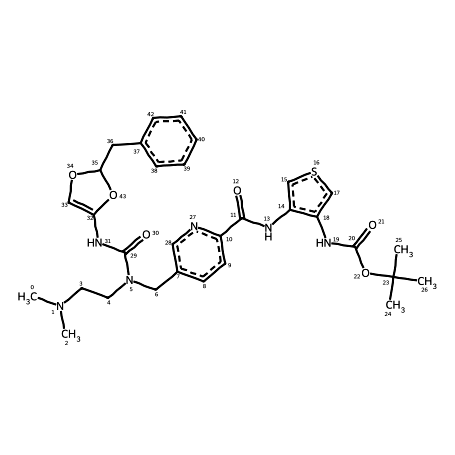 CN(C)CCN(Cc1ccc(C(=O)Nc2cscc2NC(=O)OC(C)(C)C)nc1)C(=O)NC1=COC(Cc2ccccc2)O1